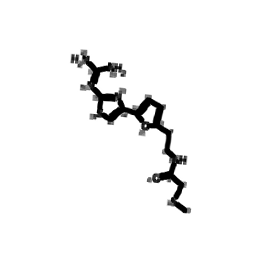 CSCC(=O)NCCc1ccc(-c2csc(N=C(N)N)n2)o1